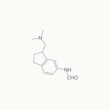 CN(C)CC1CCc2ccc(NC=O)cc21